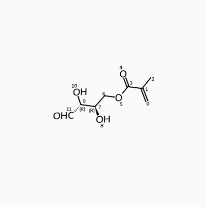 C=C(C)C(=O)OC[C@@H](O)[C@@H](O)C=O